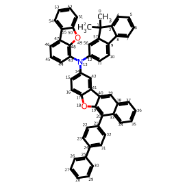 CC1(C)c2ccccc2-c2ccc(N(c3ccc4oc5c(-c6ccc(-c7ccccc7)cc6)c6ccccc6cc5c4c3)c3cccc4c3oc3ccccc34)cc21